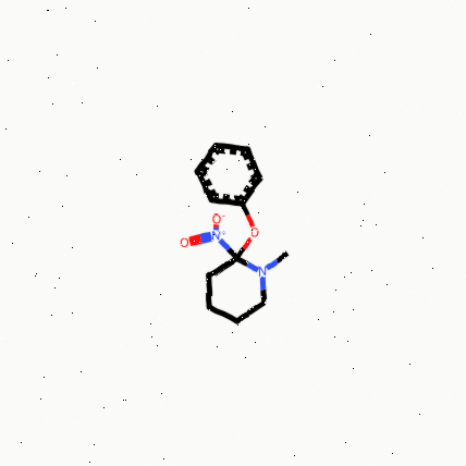 CN1CCCCC1(Oc1ccccc1)[N+](=O)[O-]